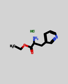 CCOC(=O)C(N)Cc1cccnc1.Cl